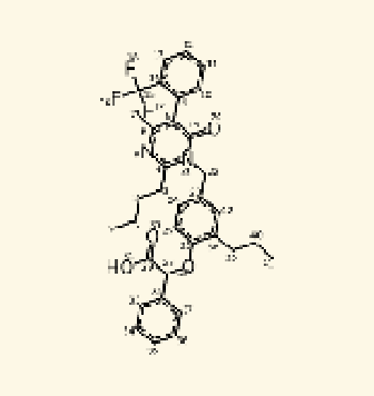 CCCCc1nc(C)c(-c2ccccc2C(F)(F)F)c(=O)n1Cc1ccc(OC(C(=O)O)c2ccccc2)c(CCC)c1